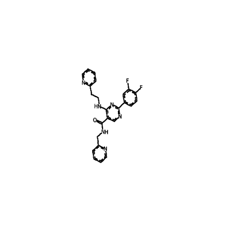 O=C(NCc1ccccn1)c1cnc(-c2ccc(F)c(F)c2)nc1NCCc1ccccn1